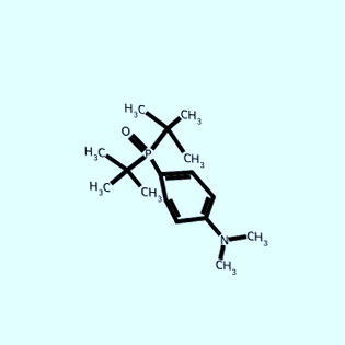 CN(C)c1ccc(P(=O)(C(C)(C)C)C(C)(C)C)cc1